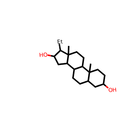 CCC1C(O)CC2C3CCC4CC(O)CCC4(C)C3CCC12C